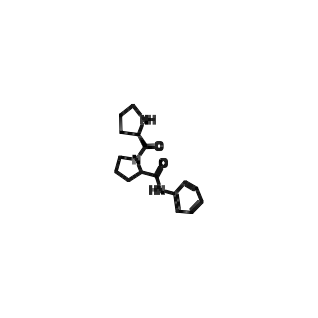 O=C(Nc1ccccc1)C1CCCN1C(=O)[C@H]1CCCN1